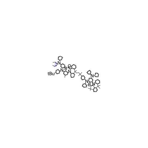 C/C=C\C(=C/C)N(c1ccccc1)c1ccc2c(c1)N(c1ccc(C(C)(C)C)cc1)c1cc(C)cc3c1B2c1oc2cccc4c2c1N3c1ccccc1C4(C)CCC(C)(C)c1ccc(N2c3ccccc3B3C4=C5c6c(cccc6C(C)(C)c6ccccc6N5c5cc(N(c6ccccc6)c6ccccc6)cc2c53)C4(C)C)cc1